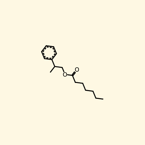 CCCCCCC(=O)OCC(C)c1ccccc1